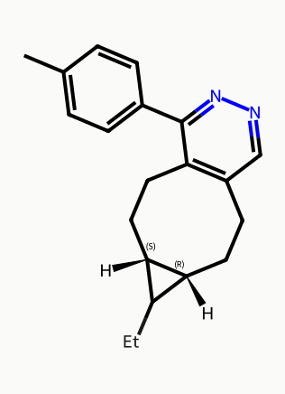 CCC1[C@H]2CCc3cnnc(-c4ccc(C)cc4)c3CC[C@@H]12